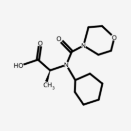 C[C@@H](C(=O)O)N(C(=O)N1CCOCC1)C1CCCCC1